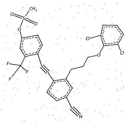 CS(=O)(=O)Oc1ccc(C#Cc2ccc(C#N)cc2CCCOc2c(Cl)cccc2Cl)c(C(F)(F)F)c1